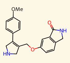 COc1ccc(C2=C(COc3ccc4c(c3)C(=O)NC4)CNC2)cc1